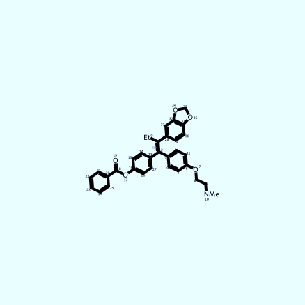 CC/C(=C(/c1ccc(OCCNC)cc1)c1ccc(OC(=O)c2ccccc2)cc1)c1ccc2c(c1)OCO2